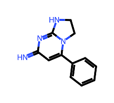 N=c1cc(-c2ccccc2)n2c(n1)NCC2